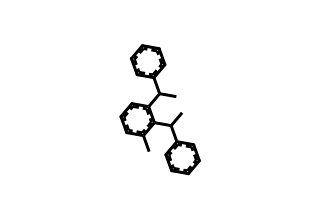 Cc1cccc(C(C)c2ccccc2)c1C(C)c1ccccc1